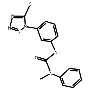 CN(C(=O)Nc1cccc(-n2nnnc2S)c1)c1ccccc1